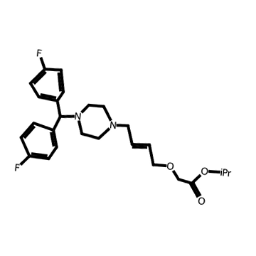 CC(C)OC(=O)COCC=CCN1CCN(C(c2ccc(F)cc2)c2ccc(F)cc2)CC1